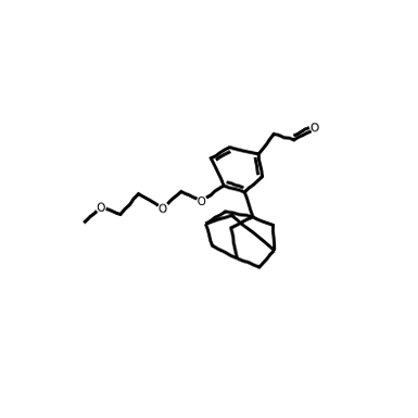 COCCOCOc1ccc(CC=O)cc1C12CC3CC(CC(C3)C1)C2